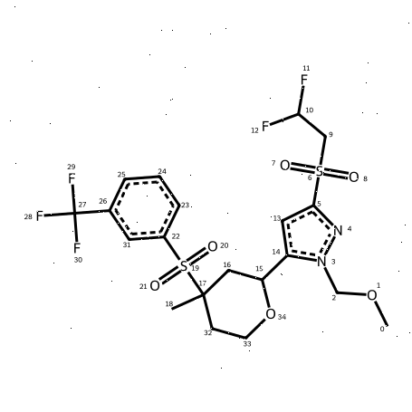 COCn1nc(S(=O)(=O)CC(F)F)cc1C1CC(C)(S(=O)(=O)c2cccc(C(F)(F)F)c2)CCO1